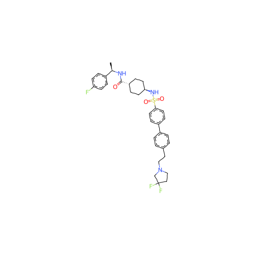 C[C@@H](NC(=O)[C@H]1CC[C@H](NS(=O)(=O)c2ccc(-c3ccc(CCN4CCC(F)(F)C4)cc3)cc2)CC1)c1ccc(F)cc1